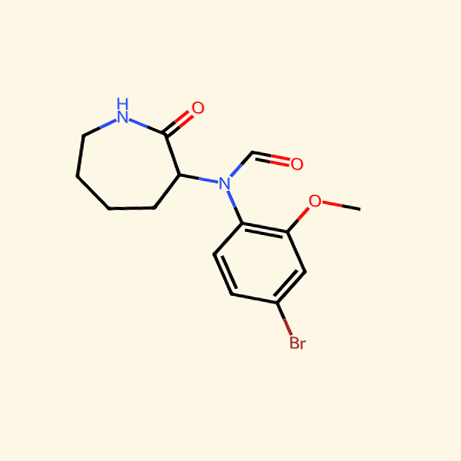 COc1cc(Br)ccc1N(C=O)C1CCCCNC1=O